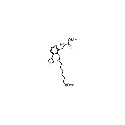 CCCCCCCCCCCCCCCCOCc1c(C2COC2)ccnc1CNC(=O)OC